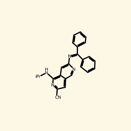 CC(C)Nc1nc(C#N)cc2cnc(N=C(c3ccccc3)c3ccccc3)cc12